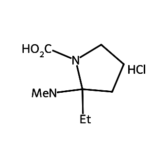 CCC1(NC)CCCN1C(=O)O.Cl